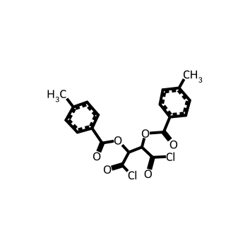 Cc1ccc(C(=O)OC(C(=O)Cl)C(OC(=O)c2ccc(C)cc2)C(=O)Cl)cc1